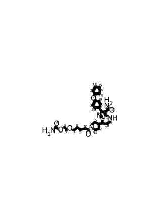 NC(=O)OCCOCCCCC(=O)N1CCC(C2CCNc3c(C(N)=O)c(-c4ccc(Oc5ccccc5)cc4)nn32)CC1